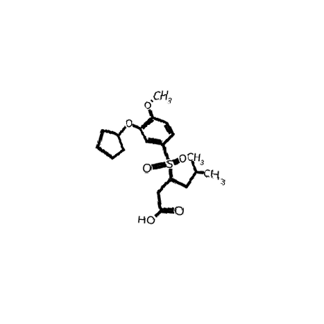 COc1ccc(S(=O)(=O)C(CC(=O)O)CC(C)C)cc1OC1CCCC1